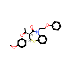 COc1ccc([C@H]2Sc3ccccc3N(CCOc3ccccc3)C(=O)[C@@H]2C(C)=O)cc1